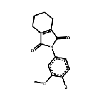 COc1cc(N2C(=O)C3=C(CCCC3)C2=O)ccc1Br